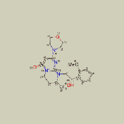 COc1ccccc1[C@H](O)CN1c2nc(N3CCOCC3)cc(=O)n2CCC1C(F)(F)F